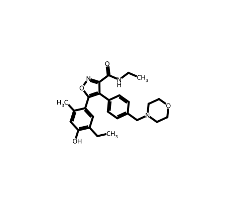 CCNC(=O)c1noc(-c2cc(CC)c(O)cc2C)c1-c1ccc(CN2CCOCC2)cc1